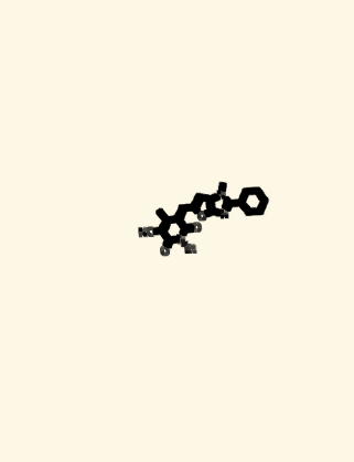 CCN1C(=O)C(C#N)=C(C)/C(=C/c2cc3c(nc(C4CCCCC4)n3C)o2)C1=O